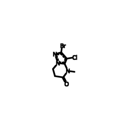 CN1C(=O)CCn2nc(Br)c(Cl)c21